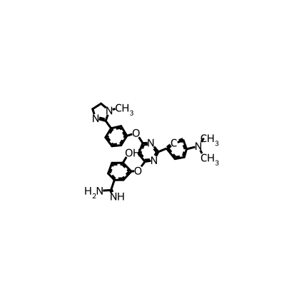 CN1CCN=C1c1cccc(Oc2cc(Oc3cc(C(=N)N)ccc3O)nc(-c3ccc(N(C)C)cc3)n2)c1